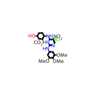 COc1cc(Nc2ncc([N+](=O)[O-])c(Nc3ccc(O)cc3C(=O)O)n2)cc(OC)c1OC.Cl